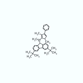 [CH2]=[Zr]([C]1=C(C)C(c2ccccc2)=CC1C)[CH]1c2ccc(C(C)(C)C)cc2-c2cc(C(C)(C)C)ccc21